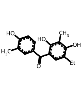 CCc1cc(C(=O)c2ccc(O)c(C)c2)c(O)c(C)c1O